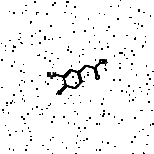 NC1=CC(CC(=O)O)=CCC1=O